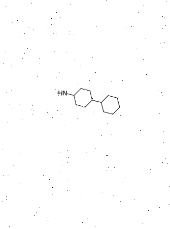 [NH]C1CCC(C2CCCCC2)CC1